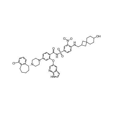 O=C(NS(=O)(=O)c1ccc(NCC2CC3(CCC(O)CC3)C2)c([N+](=O)[O-])c1)c1ccc(N2CCN([C@@H]3CCCCc4c(Cl)cccc43)CC2)cc1Oc1cnc2[nH]ccc2c1